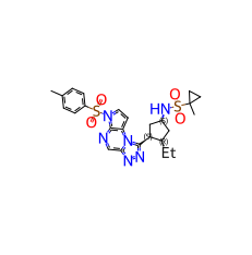 CC[C@@H]1C[C@H](NS(=O)(=O)C2(C)CC2)C[C@@H]1c1nnc2cnc3c(ccn3S(=O)(=O)c3ccc(C)cc3)n12